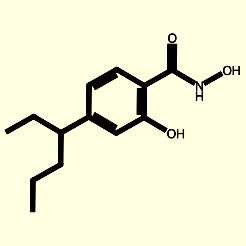 CCCC(CC)c1ccc(C(=O)NO)c(O)c1